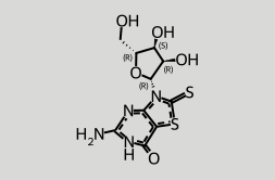 Nc1nc2c(sc(=S)n2[C@@H]2O[C@H](CO)[C@@H](O)[C@H]2O)c(=O)[nH]1